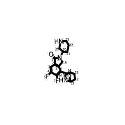 O=C1c2cc(F)c(F)c(N3CC4CCC3CN4)c2CN1C1CCCNC1